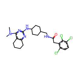 CN(C)c1nc(NC2CCC(CNC(=O)Cc3c(Cl)ccc(Cl)c3Cl)CC2)nc2c1CCCC2